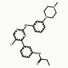 CCC(=O)Nc1cccc(-c2nc(Nc3cccc(N4CCN(C)CC4)c3)ncc2Cl)c1